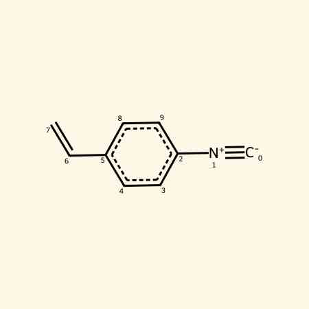 [C-]#[N+]c1ccc(C=C)cc1